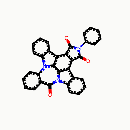 O=c1c2c(c(=O)n1-c1ccccc1)c1c3ccccc3n3c4ccccc4c(=O)n4c5ccccc5c2c4c13